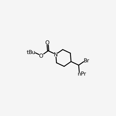 CCCC(Br)C1CCN(C(=O)OC(C)(C)C)CC1